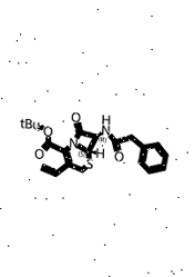 C=CC1=C(C(=O)OC(C)(C)C)N2C(=O)[C@@H](NC(=O)Cc3ccccc3)[C@@H]2SC1